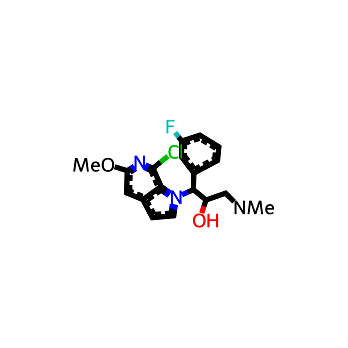 CNCC(O)C(c1cccc(F)c1)n1ccc2cc(OC)nc(Cl)c21